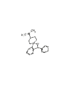 CN(C)C1CCC2(CC1)OC(c1ccccc1)c1ccccc12